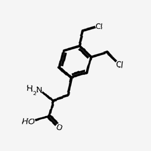 NC(Cc1ccc(CCl)c(CCl)c1)C(=O)O